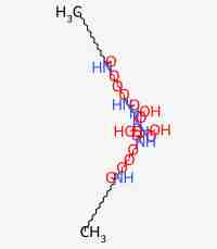 CCCCCCCCCCCCCCCCCC(=O)NCCOCCOCCOCCNC(=O)CN(CCN(CCN(CC(=O)O)CC(=O)NCCOCCOCCOCCNC(=O)CCCCCCCCCCCCCCCCC)CC(=O)O)CC(=O)O